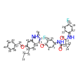 C=C/C=C(/Oc1ccc(NC(=O)C2(C(=O)Nc3ccc(F)cc3)CC2)cc1F)c1cc(CCC)c(OCc2ccccc2)cc1N